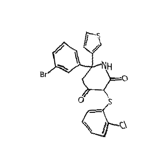 O=C1CC(c2ccsc2)(c2cccc(Br)c2)NC(=O)C1Sc1ccccc1Cl